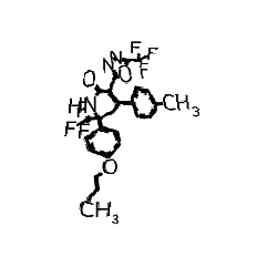 CCCCOc1ccc(C2(C(F)(F)F)CC(c3ccc(C)cc3)=C(c3nnc(C(F)(F)F)o3)C(=O)N2)cc1